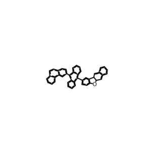 C1=c2ccccc2=CC2c3cc(-c4c5ccccc5c(-c5ccc6ccc7ccccc7c6c5)c5ccccc45)ccc3OC12